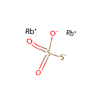 O=S(=O)([O-])[S-].[Rb+].[Rb+]